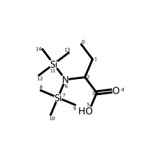 CCC(C(=O)O)N([Si](C)(C)C)[Si](C)(C)C